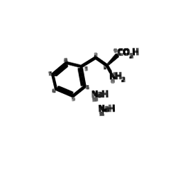 N[C@@H](Cc1ccccc1)C(=O)O.[NaH].[NaH]